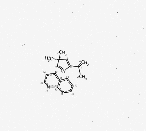 C=C(C)C1=CC(C)(C)C=N1.c1ccc2ncccc2c1